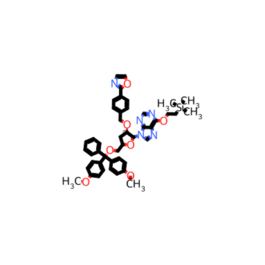 COc1ccc(C(OCC2C[C@@H](OCc3ccc(-c4ncco4)cc3)C(n3cnc4c(OCC[Si](C)(C)C)ncnc43)O2)(c2ccccc2)c2ccc(OC)cc2)cc1